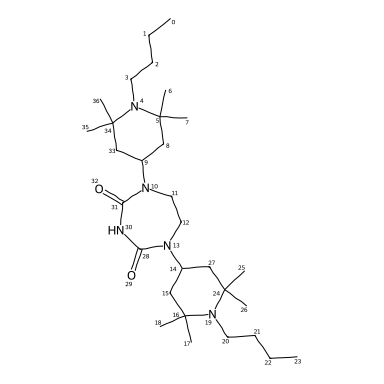 CCCCN1C(C)(C)CC(N2CCN(C3CC(C)(C)N(CCCC)C(C)(C)C3)C(=O)NC2=O)CC1(C)C